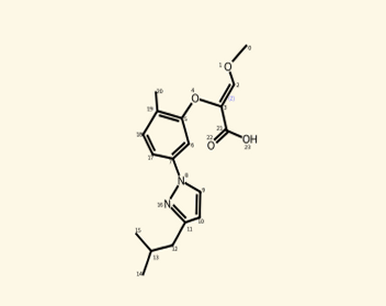 CO/C=C(\Oc1cc(-n2ccc(CC(C)C)n2)ccc1C)C(=O)O